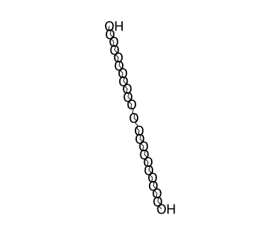 OCCOCCOCCOCCOCCOCCOCCOCCOCCOCCOCCCCOCCCCOCCOCCOCCOCCOCCOCCOCCOCCOCCOCCO